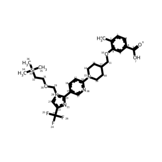 Cc1ccc(C(=O)O)cc1OCC1CCN(c2ccc(-c3nc(C(F)(F)F)cn3COCC[Si](C)(C)C)cn2)CC1